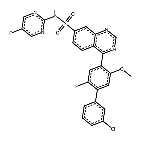 COc1cc(-c2cccc(Cl)c2)c(F)cc1-c1ncnc2cc(S(=O)(=O)Nc3ncc(F)cn3)ccc12